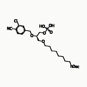 CCCCCCCCCCCCCCCCCCOC[C@H](COP(=O)(O)O)OCc1ccc(C#N)c(Cl)c1